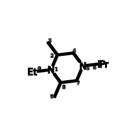 CCN1C(C)CN(C(C)C)CC1C